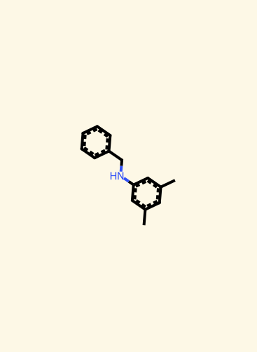 Cc1cc(C)cc(NCc2ccccc2)c1